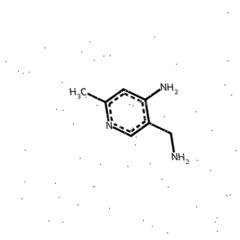 Cc1cc(N)c(CN)cn1